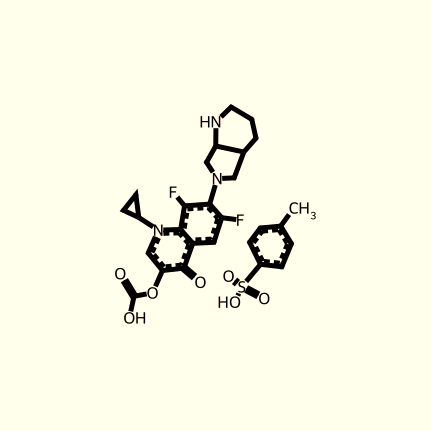 Cc1ccc(S(=O)(=O)O)cc1.O=C(O)Oc1cn(C2CC2)c2c(F)c(N3CC4CCCNC4C3)c(F)cc2c1=O